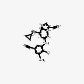 Cc1cc(C#N)cc(Nc2nc(NC3CC3)c3ncc(C#N)n3n2)c1Cl